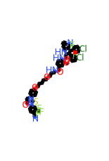 COc1cc(C(=O)NCCCOCCCCCOc2ccc(N3C(=S)N(c4ccc(C#N)c(C(F)(F)F)c4)C(=O)C3(C)C)cc2)ccc1NC(=O)[C@H](NC(CC#N)CC(C)(C)C)C(Cc1ccc(Cl)cc1F)c1cccc(Cl)c1F